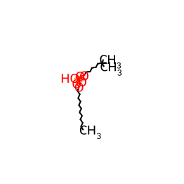 CCCCCCCCCCCCOOP(=O)(O)OOCCCCCC(C)C